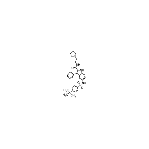 CC(C)(C)c1ccc(S(=O)(=O)Nc2ccc3[nH]c(C(=O)NCCN4CCCC4)c(-c4ccccc4)c3c2)cc1